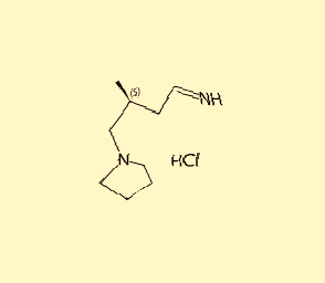 C[C@@H](CC=N)CN1CCCC1.Cl